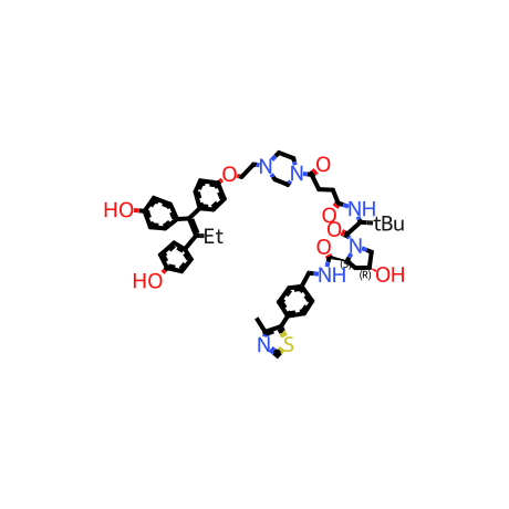 CCC(=C(c1ccc(O)cc1)c1ccc(OCCN2CCN(C(=O)CCC(=O)NC(C(=O)N3C[C@H](O)C[C@H]3C(=O)NCc3ccc(-c4scnc4C)cc3)C(C)(C)C)CC2)cc1)c1ccc(O)cc1